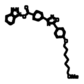 COCCCCCCCOc1ccc(-c2nc(-c3ccc(C(=O)On4nnc5ccccc54)cc3)no2)cc1